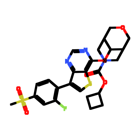 CS(=O)(=O)c1ccc(-c2csc3c(OC4C5COCC4CN(C(=O)OC4CCC4)C5)ncnc23)c(F)c1